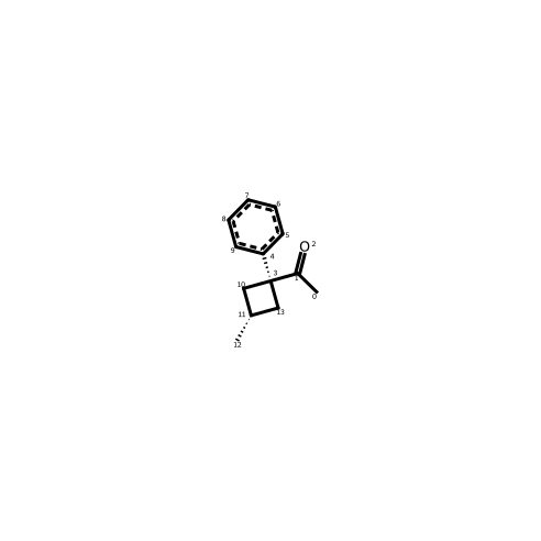 CC(=O)[C@]1(c2ccccc2)C[C@@H](C)C1